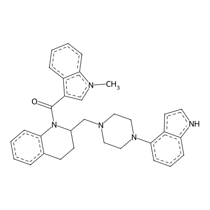 Cn1cc(C(=O)N2c3ccccc3CCC2CN2CCN(c3cccc4[nH]ccc34)CC2)c2ccccc21